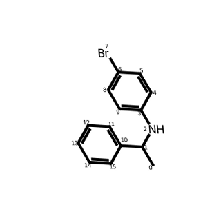 CC(Nc1ccc(Br)cc1)c1ccccc1